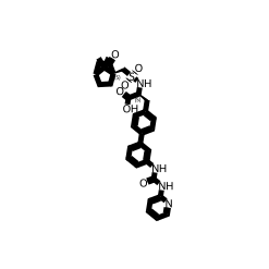 CC1(C)C2CC[C@@]1(CS(=O)(=O)N[C@@H](Cc1ccc(-c3cccc(NC(=O)Nc4ccccn4)c3)cc1)C(=O)O)C(=O)C2